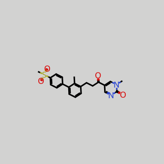 Cc1c(CCC(=O)c2cnc(=O)n(C)c2)cccc1-c1ccc(S(C)(=O)=O)cc1